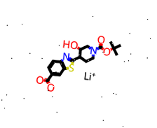 CC(C)(C)OC(=O)N1CCC(c2nc3ccc(C(=O)[O-])cc3s2)C(O)C1.[Li+]